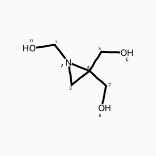 OCN1CC1(CO)CO